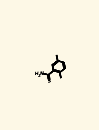 Cc1ccc(C)c(C(N)=S)c1